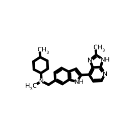 Cc1nc2c(-c3cc4ccc(CN(C)C5CCC(C)CC5)cc4[nH]3)ccnc2[nH]1